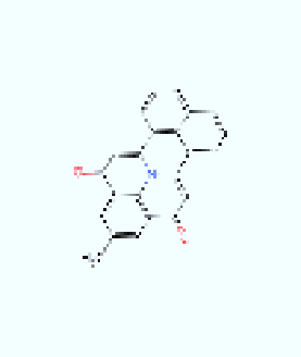 Cc1cc2c(=O)cc3c4cccc5cccc(c54)c4cc(=O)c(c1)c2n34